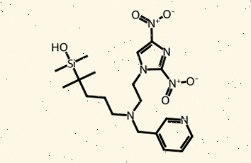 CC(C)(CCCN(CCn1cc([N+](=O)[O-])nc1[N+](=O)[O-])Cc1cccnc1)[Si](C)(C)O